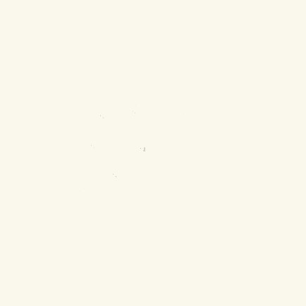 CCCSc1nc(NC(O)CC(CC)OCCO)c(N)c(NC2CC2)n1